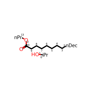 CC(C)O.CCCCCCCCCCCCCCCCCC(=O)OCCC